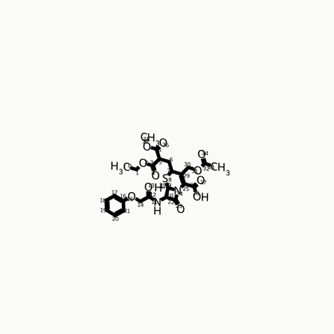 CCOC(=O)C(CC1S[C@@H]2C(NC(=O)COc3ccccc3)C(=O)N2C(C(=O)O)=C1COC(C)=O)C(=O)OC